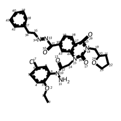 CCOc1ccc(Cl)cc1N(N)C(=O)Cn1c(=O)n(CC2CCCO2)c(=O)c2ccc(C(=O)N=NCCc3ccccc3)cc21